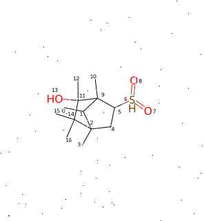 CC1C2(C)CC([SH](=O)=O)C1(C)C(C)(O)C2(C)C